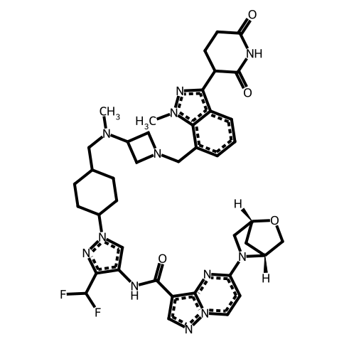 CN(CC1CCC(n2cc(NC(=O)c3cnn4ccc(N5C[C@H]6C[C@@H]5CO6)nc34)c(C(F)F)n2)CC1)C1CN(Cc2cccc3c(C4CCC(=O)NC4=O)nn(C)c23)C1